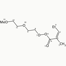 CCC=C(C)C(=O)OOCCOCCOC